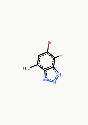 Cc1cc(Br)c(F)c2nn[nH]c12